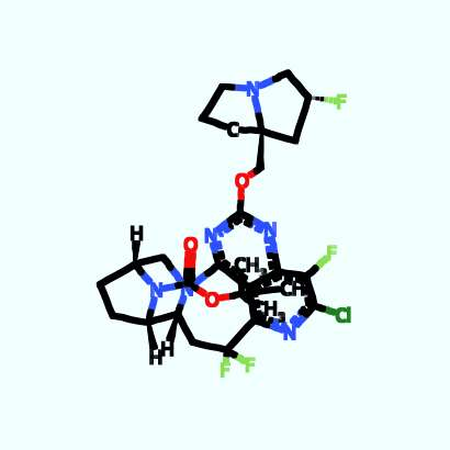 CC(C)(C)OC(=O)N1[C@@H]2CC[C@H]1[C@H]1CC(F)(F)c3nc(Cl)c(F)c4nc(OC[C@@]56CCCN5C[C@H](F)C6)nc(c34)N1C2